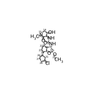 CCOC(=O)C[C@H](NC(=O)Nc1c(O)ccn(C)c1=O)c1cccc(-c2cccc(Cl)c2)c1